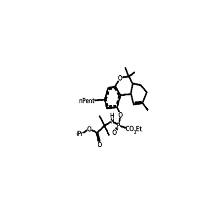 CCCCCc1cc2c(c(OP(=O)(NC(C)(C)C(=O)OC(C)C)C(=O)OCC)c1)C1C=C(C)CCC1C(C)(C)O2